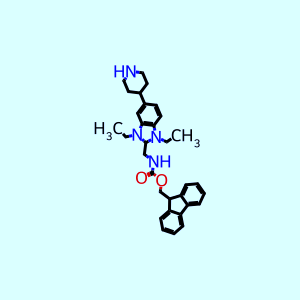 CCN1c2ccc(C3CCNCC3)cc2N(CC)C1CNC(=O)OCC1c2ccccc2-c2ccccc21